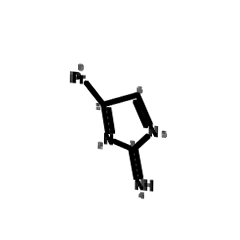 CC(C)C1=NC(=N)N=C1